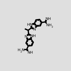 CC(c1nc2cc(C(=N)N)ccc2[nH]1)c1nc2cc(C(=N)N)ccc2[nH]1